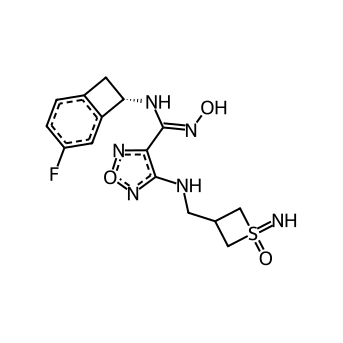 N=S1(=O)CC(CNc2nonc2/C(=N/O)N[C@H]2Cc3ccc(F)cc32)C1